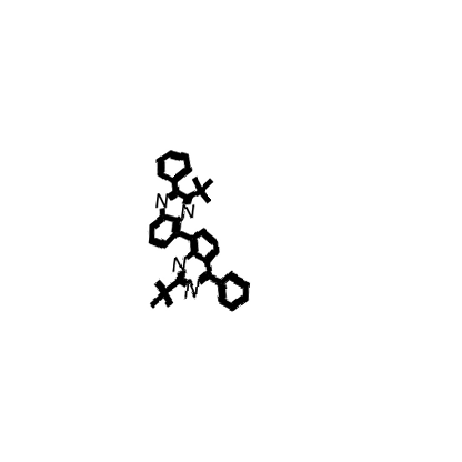 CC(C)(C)c1nc(-c2ccccc2)c2cccc(-c3cccc4nc(-c5ccccc5)c(C(C)(C)C)nc34)c2n1